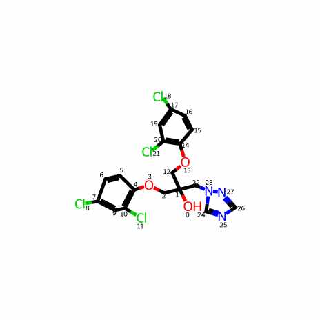 OC(COc1ccc(Cl)cc1Cl)(COc1ccc(Cl)cc1Cl)Cn1cncn1